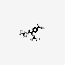 CN/C(S)=N/N=C(C)/C(=N/N=C(\S)NC)c1ccc(C(N)=O)cc1